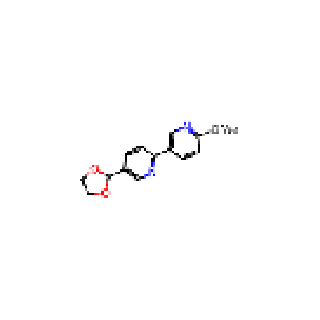 COc1ccc(-c2ccc(C3OCCO3)cn2)cn1